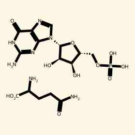 NC(=O)CCC(N)C(=O)O.Nc1nc2c(ncn2[C@@H]2O[C@H](COP(=O)(O)O)[C@@H](O)[C@H]2O)c(=O)[nH]1